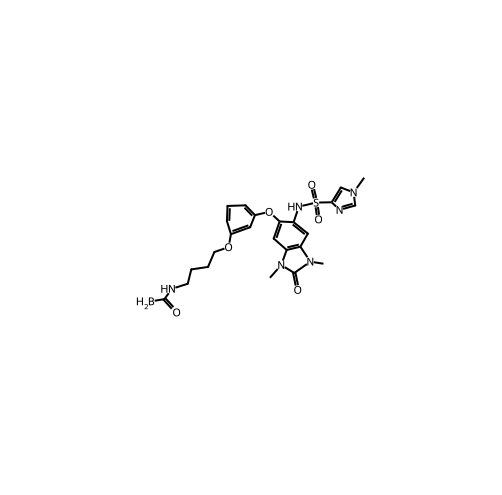 BC(=O)NCCCCOc1cccc(Oc2cc3c(cc2NS(=O)(=O)c2cn(C)cn2)n(C)c(=O)n3C)c1